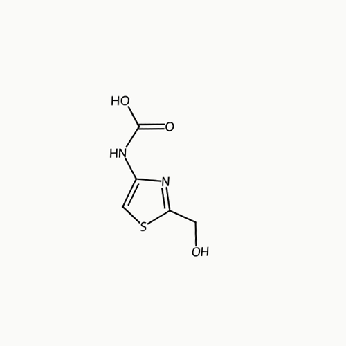 O=C(O)Nc1csc(CO)n1